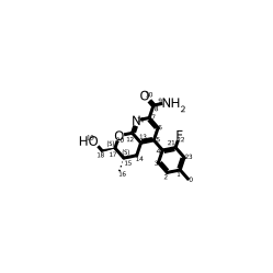 Cc1ccc(-c2cc(C(N)=O)nc3c2C[C@H](C)[C@@H](CO)O3)c(F)c1